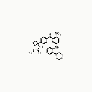 CC(C)(C)OC(=O)NC1(c2ccc(Nc3nc(Nc4ccccc4N4CCOCC4)ccc3[N+](=O)[O-])cc2)CCC1